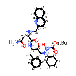 CC(C)(C)OC(=O)NN(C[C@H](O)[C@H](Cc1ccccc1)NC(=O)[C@H](CC(N)=O)NCc1ccc2ccccc2n1)C1CCCCC1